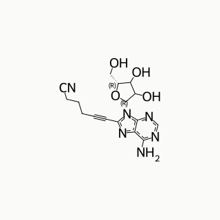 N#CCCCC#Cc1nc2c(N)ncnc2n1[C@@H]1O[C@H](CO)C(O)C1O